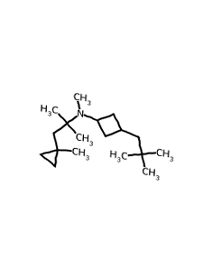 CN(C1CC(CC(C)(C)C)C1)C(C)(C)CC1(C)CC1